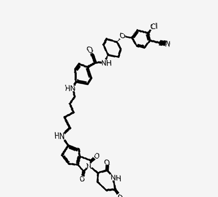 N#Cc1ccc(O[C@H]2CC[C@H](NC(=O)c3ccc(NCCCCCNc4ccc5c(c4)C(=O)N(C4CCC(=O)NC4=O)C5=O)cc3)CC2)cc1Cl